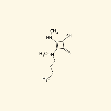 CCCCN(C)C1=C(NC)C(S)C1=S